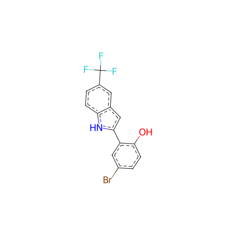 Oc1ccc(Br)cc1-c1cc2cc(C(F)(F)F)ccc2[nH]1